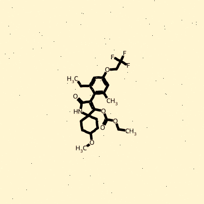 CCOC(=O)OC1=C(c2c(C)cc(OCC(F)(F)F)cc2CC)C(=O)NC12CCC(OC)CC2